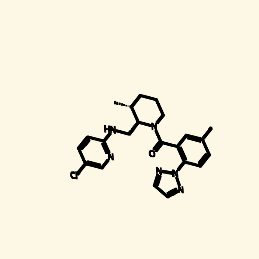 Cc1ccc(-n2nccn2)c(C(=O)N2CCC[C@@H](C)C2CNc2ccc(Cl)cn2)c1